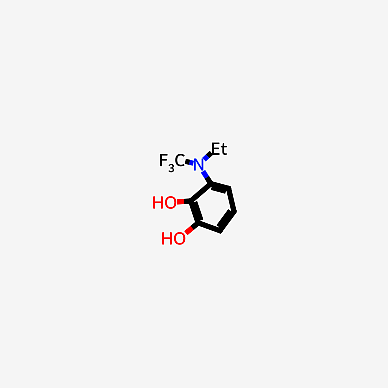 CCN(c1cccc(O)c1O)C(F)(F)F